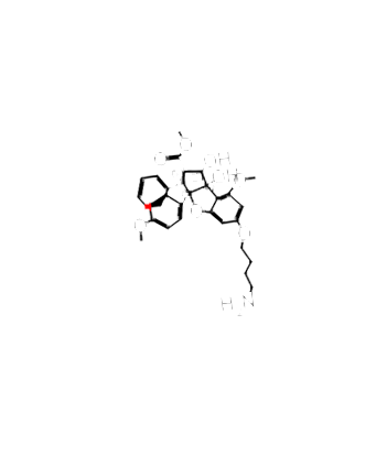 COC(=O)[C@H]1[C@@H](c2ccccc2)[C@@]2(c3ccc(OC)cc3)Oc3cc(OCCCCN)cc(OC)c3[C@]2(O)[C@H]1O